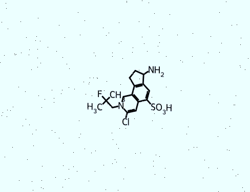 CC(C)(F)CN1Cc2c(c(S(=O)(=O)O)cc3c2CCC3N)C=C1Cl